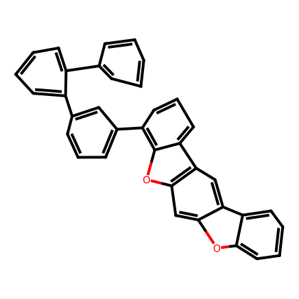 c1ccc(-c2ccccc2-c2cccc(-c3cccc4c3oc3cc5oc6ccccc6c5cc34)c2)cc1